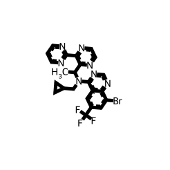 CC(c1nccnc1-c1ncccn1)N(CC1CC1)c1ncnc2c(Br)cc(C(F)(F)F)cc12